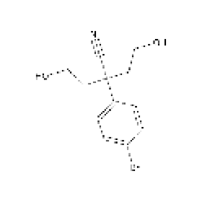 N#CC(CCO)(CCO)c1ccc(Br)cc1